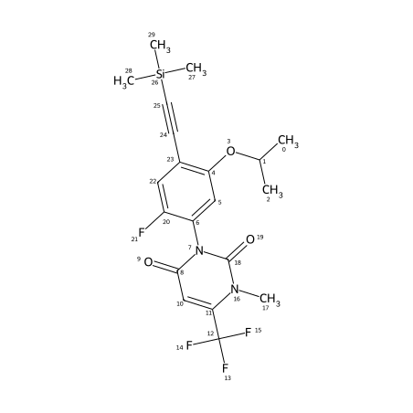 CC(C)Oc1cc(-n2c(=O)cc(C(F)(F)F)n(C)c2=O)c(F)cc1C#C[Si](C)(C)C